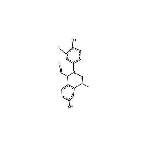 O=CC1c2ccc(O)cc2C(I)=CN1c1ccc(O)c(F)c1